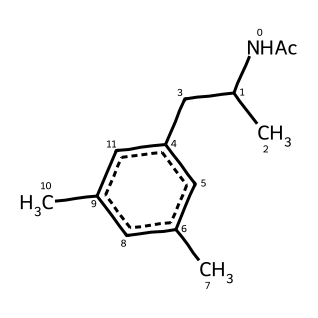 CC(=O)NC(C)Cc1cc(C)cc(C)c1